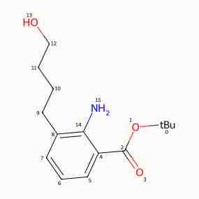 CC(C)(C)OC(=O)c1cccc(CCCCO)c1N